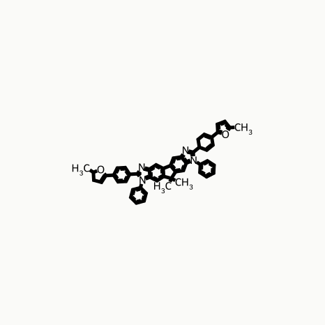 Cc1ccc(C2=CCC(c3nc4cc5c(cc4n3-c3ccccc3)C(C)(C)c3cc4c(cc3-5)nc(-c3ccc(C5=CCC(C)O5)cc3)n4-c3ccccc3)C=C2)o1